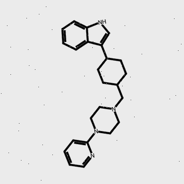 c1ccc(N2CCN(CC3CCC(c4c[nH]c5ccccc45)CC3)CC2)nc1